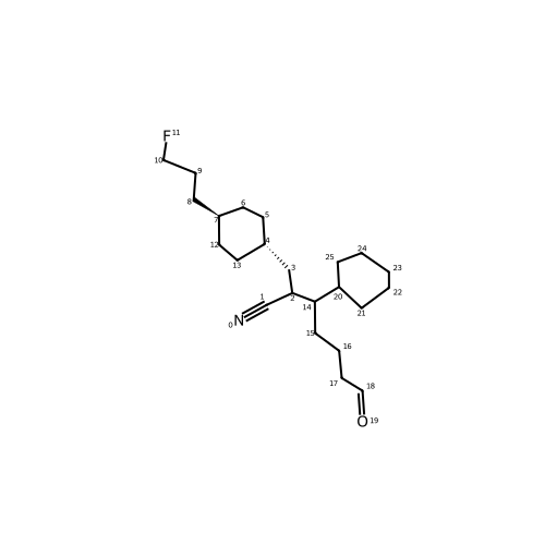 N#CC(C[C@H]1CC[C@H](CCCF)CC1)C(CCCC=O)C1CCCCC1